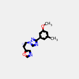 COc1cc(C)cc(-c2ncn(/C=C\c3cnco3)n2)c1